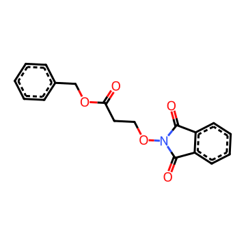 O=C(CCON1C(=O)c2ccccc2C1=O)OCc1ccccc1